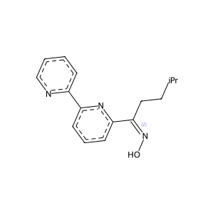 CC(C)CC/C(=N/O)c1cccc(-c2ccccn2)n1